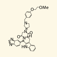 COCCOc1ccc(CN2CC[C@@H](N3CC(=O)N4[C@H](c5ccc6nsnc6c5)c5[nH]c6ccccc6c5C[C@@H]4C3=O)C2)cc1